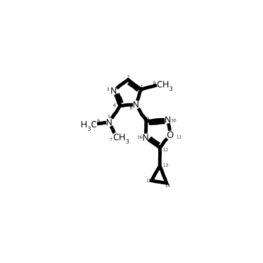 Cc1cnc(N(C)C)n1-c1noc(C2CC2)n1